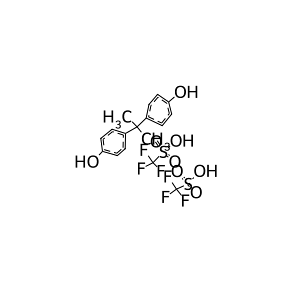 CC(C)(c1ccc(O)cc1)c1ccc(O)cc1.O=S(=O)(O)C(F)(F)F.O=S(=O)(O)C(F)(F)F